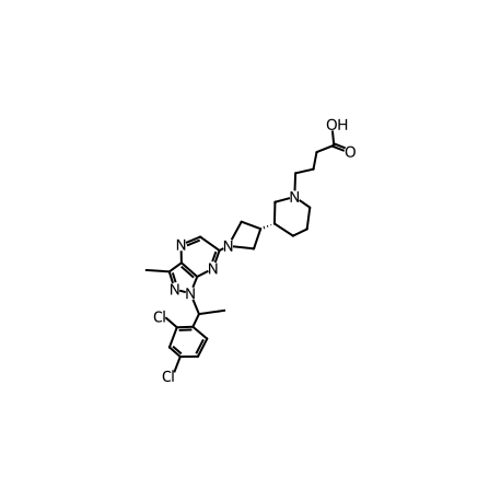 Cc1nn(C(C)c2ccc(Cl)cc2Cl)c2nc(N3CC([C@H]4CCCN(CCCC(=O)O)C4)C3)cnc12